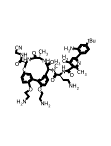 Cc1cc(-c2ccc(C(C)(C)C)cc2N)nc(C)c1C(=O)N[C@@H](CCN)C(=O)N(C)[C@@H]1C(=O)N[C@@H](C)C(=O)N[C@H](C(=O)NCC#N)Cc2ccc(OCCN)c(c2)-c2cc1ccc2OCCN